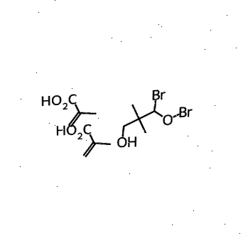 C=C(C)C(=O)O.C=C(C)C(=O)O.CC(C)(CO)C(Br)OBr